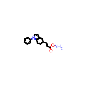 NOC(=O)/C=C/c1ccc2c(ccn2-c2ccccc2)c1